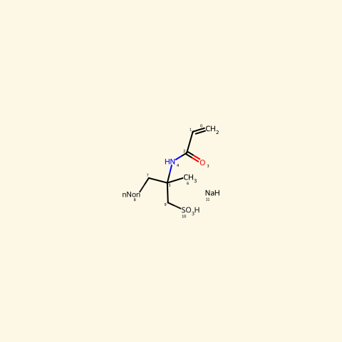 C=CC(=O)NC(C)(CCCCCCCCCC)CS(=O)(=O)O.[NaH]